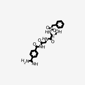 N=C(N)c1ccc(C(=O)NC(=O)CNC(=O)[C@@H](CO)NS(=O)(=O)Cc2ccccc2)cc1